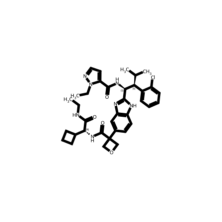 CCNC(=O)[C@H](NC(=O)C1(c2ccc3[nH]c([C@@H](NC(=O)c4ccnn4CC)[C@H](c4ccccc4Cl)C(C)C)nc3c2)COC1)C1CCC1